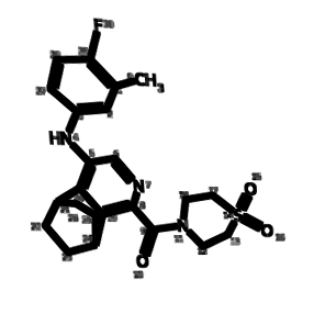 Cc1cc(Nc2cnc(C(=O)N3CCS(=O)(=O)CC3)c3c2C2CCC3CC2)ccc1F